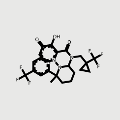 CC1(c2cc(C(F)(F)F)ccn2)CCCC2N(CC3(C(F)(F)F)CC3)C(=O)c3c(O)c(=O)ccn3N21